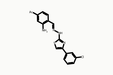 CC(=O)c1ccc(C=NNc2nc(-c3cccc(Cl)c3)cs2)c(N)c1